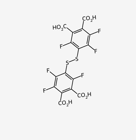 O=C(O)c1c(F)c(F)c(SSc2c(F)c(F)c(C(=O)O)c(C(=O)O)c2F)c(F)c1C(=O)O